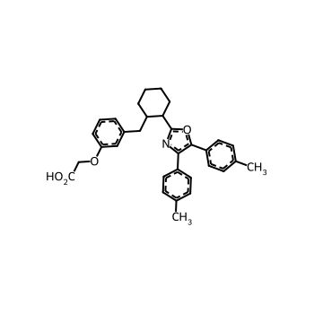 Cc1ccc(-c2nc(C3CCCCC3Cc3cccc(OCC(=O)O)c3)oc2-c2ccc(C)cc2)cc1